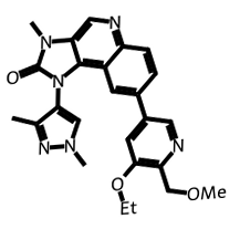 CCOc1cc(-c2ccc3ncc4c(c3c2)n(-c2cn(C)nc2C)c(=O)n4C)cnc1COC